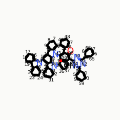 N#Cc1cc(-n2c3ccccc3c3cc(-n4c5ccccc5c5ccccc54)c4c5ccccc5n(-c5ccccc5)c4c32)c2c(oc3ccccc32)c1-c1nc(-c2ccccc2)nc(-c2ccccc2)n1